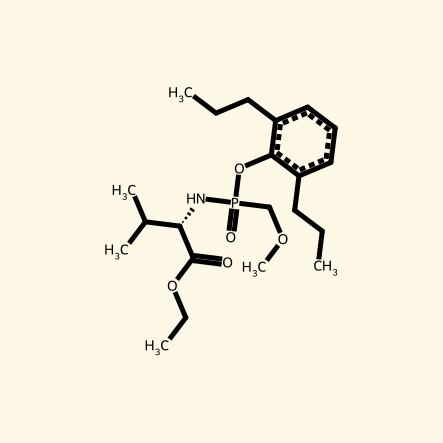 CCCc1cccc(CCC)c1OP(=O)(COC)N[C@H](C(=O)OCC)C(C)C